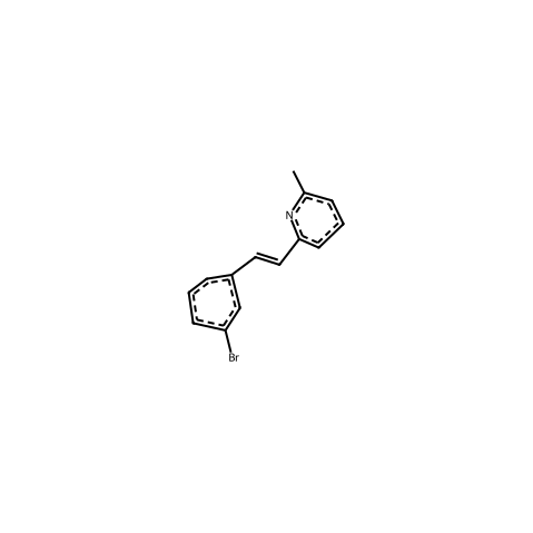 Cc1cccc(C=Cc2cccc(Br)c2)n1